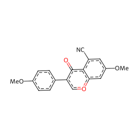 COc1ccc(-c2coc3cc(OC)cc(C#N)c3c2=O)cc1